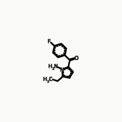 CCc1ccc(C(=O)c2ccc(F)cc2)n1N